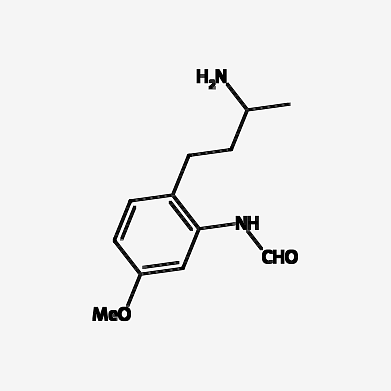 COc1ccc(CCC(C)N)c(NC=O)c1